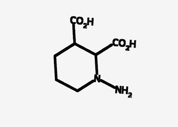 NN1CCCC(C(=O)O)C1C(=O)O